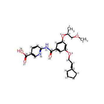 COC[C@H](C)Oc1cc(OCC=C2CCCC2)cc(C(=O)Nc2ccc(C(=O)O)cn2)c1